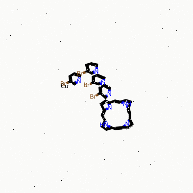 Brc1cccnc1.Brc1cccnc1.Brc1cccnc1.Brc1cccnc1.C1=Cc2cc3ccc(cc4nc(cc5ccc(cc1n2)[nH]5)C=C4)[nH]3.[Cu]